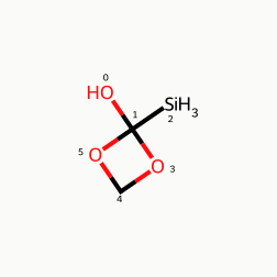 OC1([SiH3])OCO1